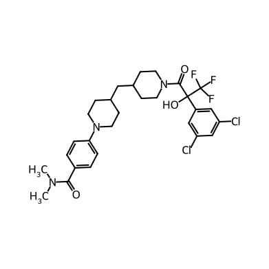 CN(C)C(=O)c1ccc(N2CCC(CC3CCN(C(=O)C(O)(c4cc(Cl)cc(Cl)c4)C(F)(F)F)CC3)CC2)cc1